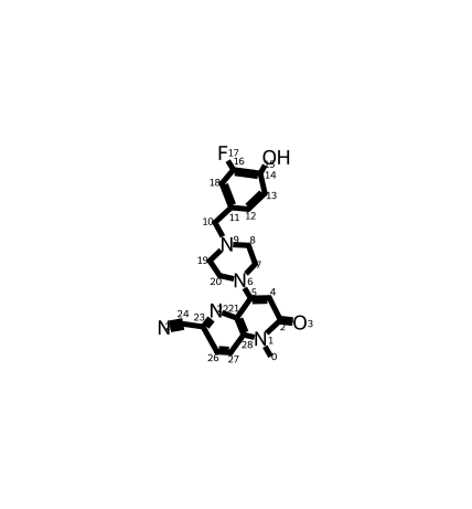 Cn1c(=O)cc(N2CCN(Cc3ccc(O)c(F)c3)CC2)c2nc(C#N)ccc21